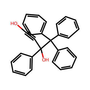 OC#CC(O)(c1ccccc1)C(c1ccccc1)(c1ccccc1)c1ccccc1